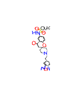 CC(=O)OS(=O)(=O)Nc1ccc2c(c1)C(=O)CC1(CCN(CCc3ccc4nonc4c3)CC1)O2